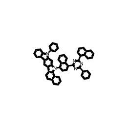 c1ccc(-c2nc(-c3cccc4ccccc34)nc(-c3ccc(-n4c5cc6c(cc5c5ccc7ccccc7c54)c4ccccc4n6-c4ccccc4)c4ccccc34)n2)cc1